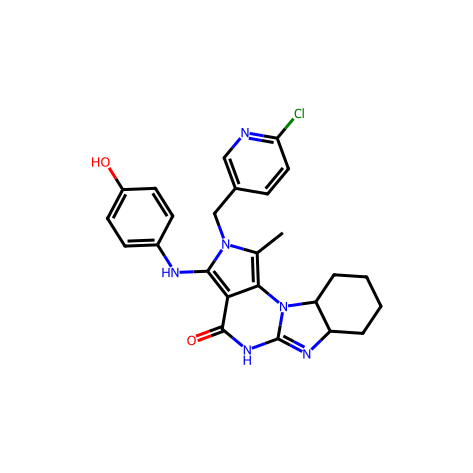 Cc1c2c(c(Nc3ccc(O)cc3)n1Cc1ccc(Cl)nc1)C(=O)NC1=NC3CCCCC3N12